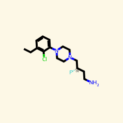 CCc1cccc(N2CCN(C[C@@H](F)CCN)CC2)c1Cl